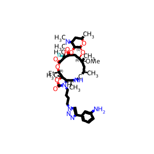 CC[C@H]1OC(=O)[C@](C)(F)C(=O)C[C@@H](O[C@@H]2OC(C)CC(N(C)C)C2O)[C@](C)(OC)C[C@@H](C)CN[C@H](C)[C@H]2N(CCCCn3cc(-c4cccc(N)c4)nn3)C(=O)O[C@]12C